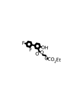 CCOC(=O)OCCOC(=O)c1cc(-c2ccc(F)cc2F)ccc1O